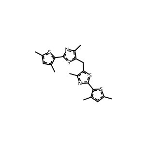 Cc1cc(C)c(-c2nc(C)c(Cc3sc(-c4sc(C)cc4C)nc3C)s2)s1